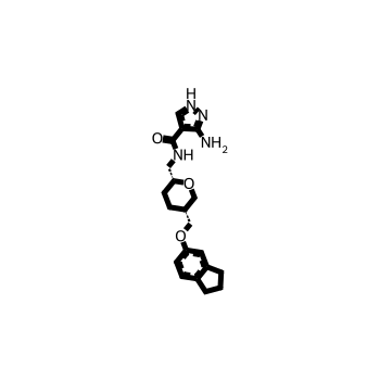 Nc1n[nH]cc1C(=O)NC[C@H]1CC[C@@H](COc2ccc3c(c2)CCC3)CO1